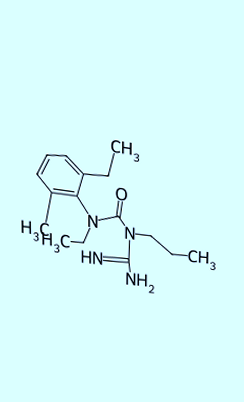 CCCN(C(=N)N)C(=O)N(CC)c1c(C)cccc1CC